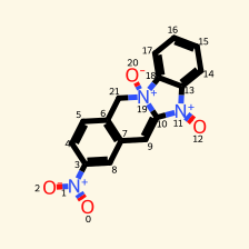 O=[N+]([O-])c1ccc2c(c1)C=C1[N+](=O)c3ccccc3[N+]1([O-])C2